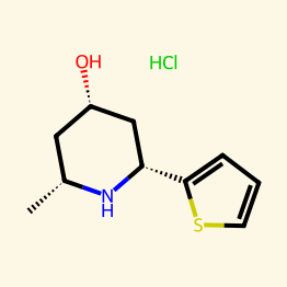 C[C@@H]1C[C@H](O)C[C@H](c2cccs2)N1.Cl